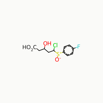 O=C(O)CC(O)CC(Cl)[S+]([O-])c1ccc(F)cc1